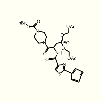 CCCCOC(=O)N1CCN(C(=O)C(CP(=O)(OCOC(C)=O)OCOC(C)=O)NC(=O)c2csc(-c3ccccc3)n2)CC1